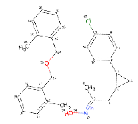 C/C(CC1CC1c1ccc(Cl)cc1)=N\O.Cc1ccccc1COCc1ccccc1C